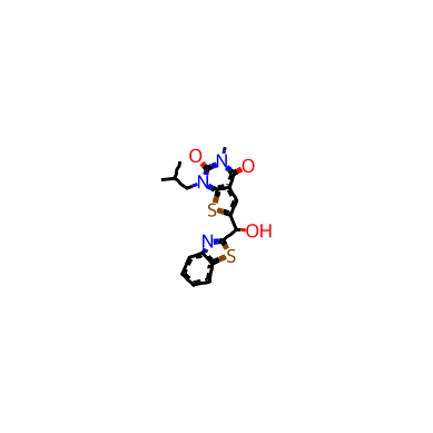 CC(C)Cn1c(=O)n(C)c(=O)c2cc(C(O)c3nc4ccccc4s3)sc21